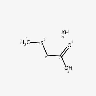 CSCC(=O)O.[KH]